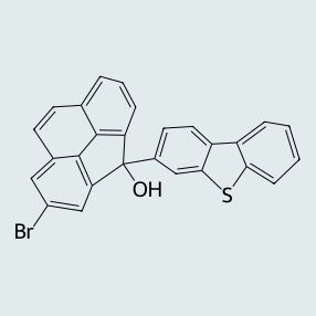 OC1(c2ccc3c(c2)sc2ccccc23)c2cccc3ccc4cc(Br)cc1c4c23